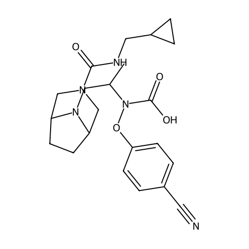 CC(CN1C2CCC1CN(C(=O)NCC1CC1)C2)N(Oc1ccc(C#N)cc1)C(=O)O